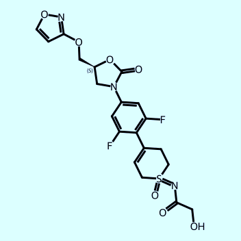 O=C(CO)N=S1(=O)CC=C(c2c(F)cc(N3C[C@@H](COc4ccon4)OC3=O)cc2F)CC1